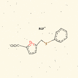 O=C([O-])c1ccc(CSc2ccccc2)o1.[Na+]